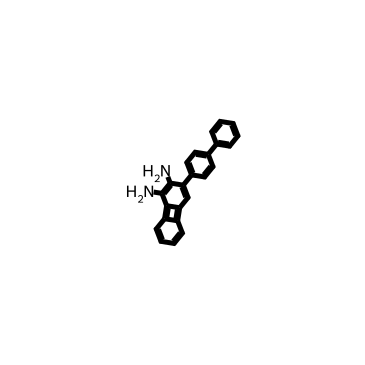 Nc1c(-c2ccc(-c3ccccc3)cc2)cc2c(c1N)=c1ccccc1=2